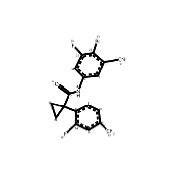 N#Cc1cc(NC(=O)C2(c3ccc(C(F)(F)F)cc3F)CC2)cc(F)c1Br